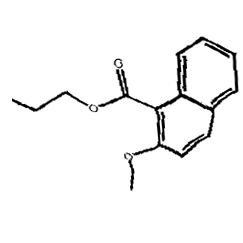 CCCOC(=O)c1c(OC)ccc2ccccc12